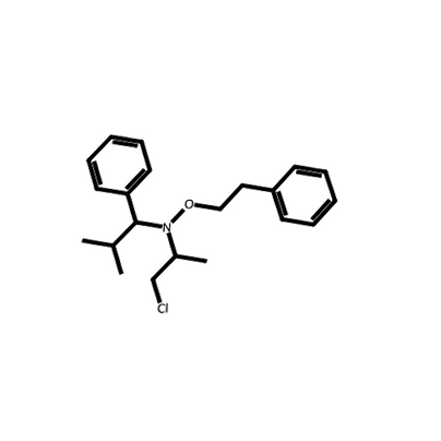 CC(C)C(c1ccccc1)N(OCCc1ccccc1)C(C)CCl